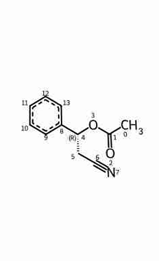 CC(=O)O[C@H](CC#N)c1ccccc1